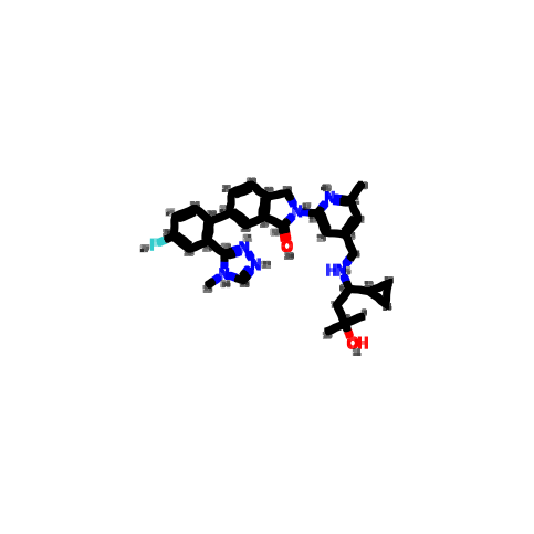 Cc1cc(CNC(CC(C)(C)O)C2CC2)cc(N2Cc3ccc(-c4ccc(F)cc4-c4nncn4C)cc3C2=O)n1